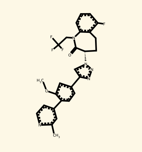 COc1cc(-c2cn([C@H]3CCc4c(F)cccc4N(CC(F)(F)F)C3=O)nn2)ccc1-c1ccnc(C)c1